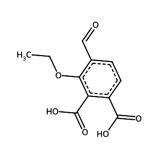 CCOc1c(C=O)ccc(C(=O)O)c1C(=O)O